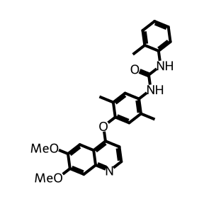 COc1cc2nccc(Oc3cc(C)c(NC(=O)Nc4ccccc4C)cc3C)c2cc1OC